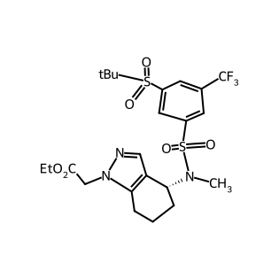 CCOC(=O)Cn1ncc2c1CCC[C@H]2N(C)S(=O)(=O)c1cc(C(F)(F)F)cc(S(=O)(=O)C(C)(C)C)c1